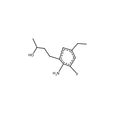 CCc1cc(F)c(N)c(CCC(C)O)c1